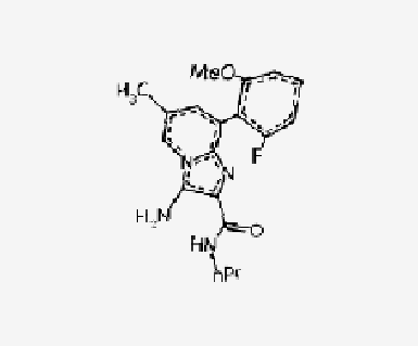 CCCNC(=O)c1nc2c(-c3c(F)cccc3OC)cc(C)cn2c1N